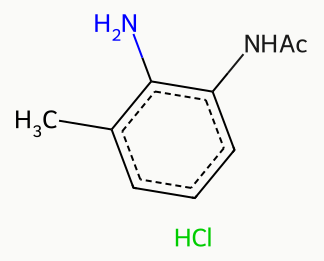 CC(=O)Nc1cccc(C)c1N.Cl